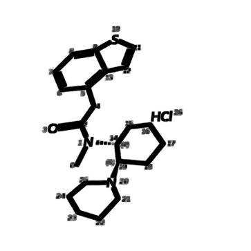 CN(C(=O)Cc1cccc2sccc12)[C@@H]1CCCC[C@H]1N1CCCCC1.Cl